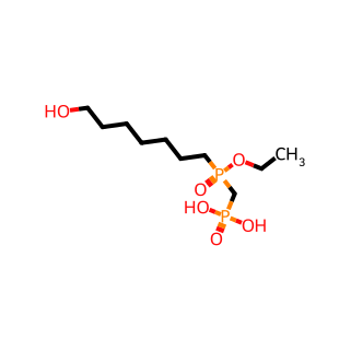 CCOP(=O)(CCCCCCCO)CP(=O)(O)O